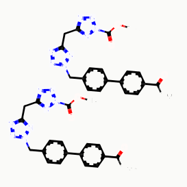 COC(=O)c1ccc(-c2ccc(Cn3nnc(Cc4nnn(C(=O)OC(C)(C)C)n4)n3)cc2)cc1.COC(=O)c1ccc(-c2ccc(Cn3nnc(Cc4nnn(C(=O)OC(C)(C)C)n4)n3)cc2)cc1